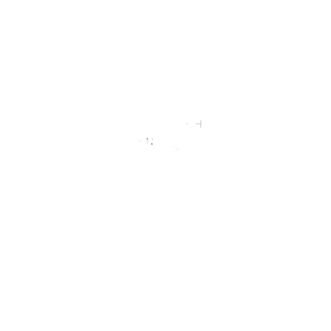 Cc1c[nH]c(C2CCCCCC2)p1